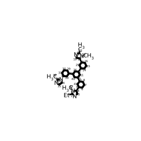 CCc1ncc(-c2cccc(-c3cc(-c4cccc(-c5cnc(C)n5C)c4)cc(-c4cccc(-n5ccnc5C)c4)c3)c2)n1C